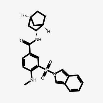 CNc1ccc(C(=O)N[C@@H]2C[C@H]3CC[C@@H]2C3)cc1S(=O)(=O)n1cc2ccccc2c1